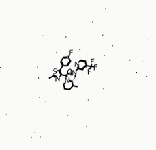 Cc1nc(C(=O)N2CCCC(C)[C@H]2CNc2cc(C(F)(F)F)ccn2)c(-c2ccc(F)cc2)s1